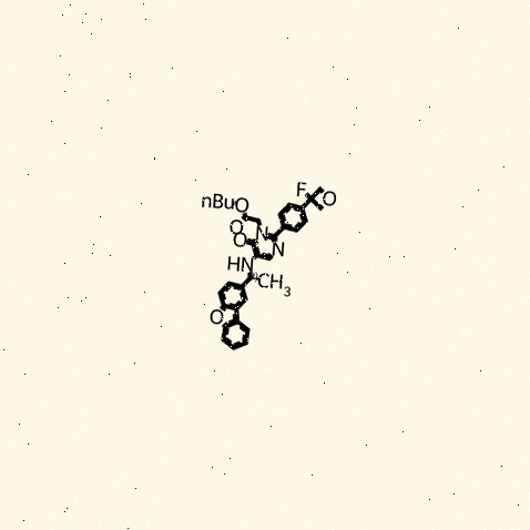 CCCCOC(=O)Cn1c(-c2ccc(C3(F)COC3)cc2)ncc(N[C@H](C)c2ccc3oc4ccccc4c3c2)c1=O